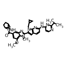 COc1cc(C(=O)N2CC3CCC2C3N)cc2nc(-c3cc4ccc(Nc5ccnc(C(C)C)n5)nc4n3CC3CC3)n(C)c12